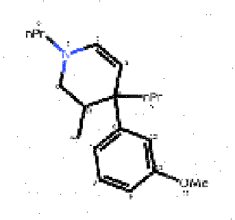 CCCN1C=CC(CCC)(c2cccc(OC)c2)C(C)C1